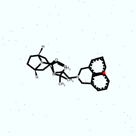 CC(C)(C)OC(=O)N1[C@@H]2CC[C@H]1C[C@](C=O)(OCCN(Cc1ccccc1)Cc1ccccc1)C2